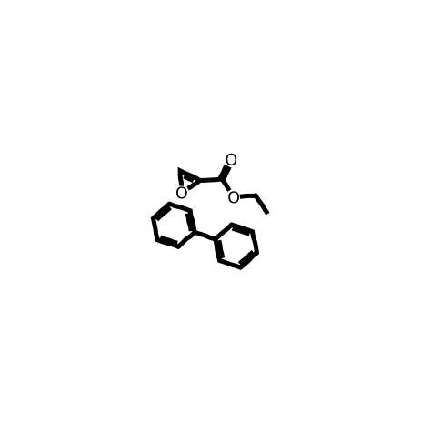 CCOC(=O)C1=CO1.c1ccc(-c2ccccc2)cc1